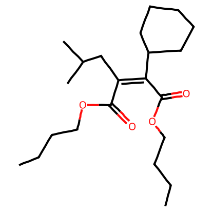 CCCCOC(=O)/C(CC(C)C)=C(\C(=O)OCCCC)C1CCCCC1